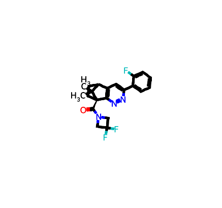 CC1(C)C2CC[C@@]1(C(=O)N1CC(F)(F)C1)c1nnc(-c3ccccc3F)cc12